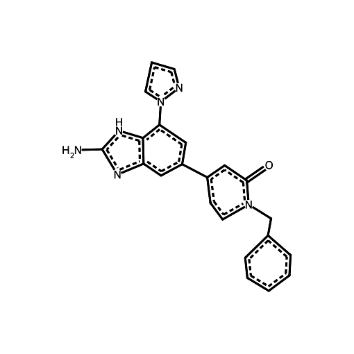 Nc1nc2cc(-c3ccn(Cc4ccccc4)c(=O)c3)cc(-n3cccn3)c2[nH]1